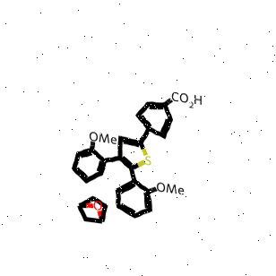 C1CC2CC1O2.COc1ccccc1-c1cc(-c2ccc(C(=O)O)cc2)sc1-c1ccccc1OC